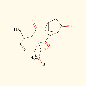 COC(=O)C12C(=O)C3C4CC(CC4=O)C3C(=O)C1C(C)C=CC2C